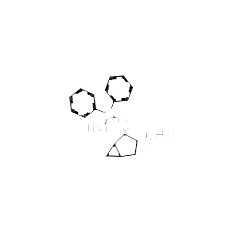 CC(C)(C)[Si](O[C@H]1C2CC2C[C@H]1C=O)(c1ccccc1)c1ccccc1